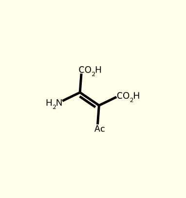 CC(=O)/C(C(=O)O)=C(\N)C(=O)O